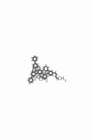 C/C=C\C=C/c1c#cc2[nH]c3c(c2c1)CCC=C3c1c2c(c3c4cc(-c5ccccc5)cc5c6cc(-c7ccccc7)cc7c6n(c3c1S7)c54)C(C)(C)c1c#cccc1-2